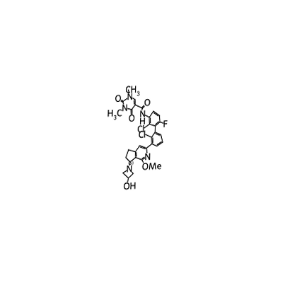 COc1nc(-c2cccc(-c3c(F)ccc(NC(=O)c4cn(C)c(=O)n(C)c4=O)c3Cl)c2Cl)cc2c1[C@@H](N1CC(O)C1)CC2